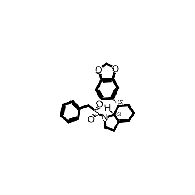 O=S(=O)(Cc1ccccc1)N1CCC2=CCC[C@@H](c3ccc4c(c3)OCO4)[C@@H]21